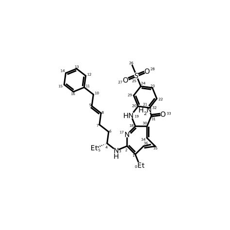 CCC1=C(N[C@H](CC)CCC=CCc2ccccc2)/N=C(Nc2cccc(S(C)(=O)=O)c2)\C(C(N)=O)=C\C=C\1